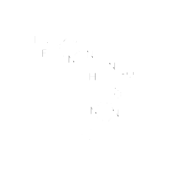 O=C1[C@@H](Oc2cnc(C3CC3)cn2)C[C@H]2CN(c3ccc(C(F)(F)F)cn3)CCCN12